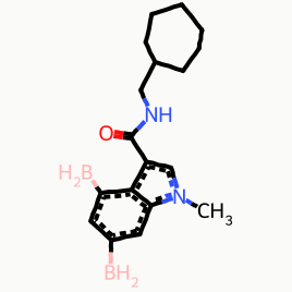 Bc1cc(B)c2c(C(=O)NCC3CCCCCC3)cn(C)c2c1